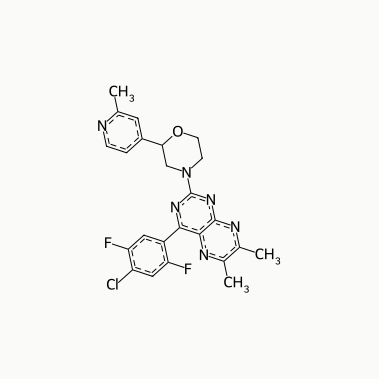 Cc1cc(C2CN(c3nc(-c4cc(F)c(Cl)cc4F)c4nc(C)c(C)nc4n3)CCO2)ccn1